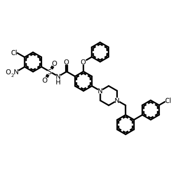 O=C(NS(=O)(=O)c1ccc(Cl)c([N+](=O)[O-])c1)c1ccc(N2CCN(Cc3ccccc3-c3ccc(Cl)cc3)CC2)cc1Oc1ccccc1